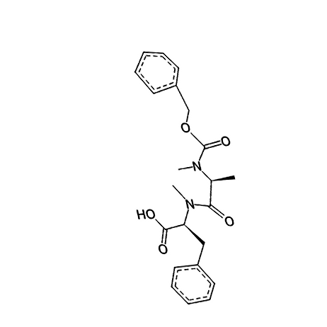 C[C@@H](C(=O)N(C)[C@@H](Cc1ccccc1)C(=O)O)N(C)C(=O)OCc1ccccc1